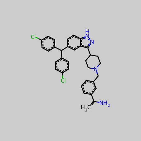 C=C(N)c1cccc(CN2CCC(c3n[nH]c4ccc(C(c5ccc(Cl)cc5)c5ccc(Cl)cc5)cc34)CC2)c1